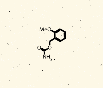 COc1ccccc1[CH]OC(N)=O